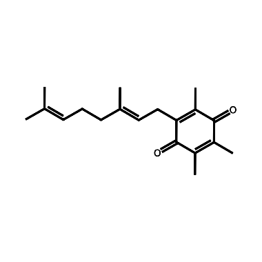 CC(C)=CCC/C(C)=C/CC1=C(C)C(=O)C(C)=C(C)C1=O